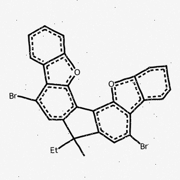 CCC1(C)c2cc(Br)c3c(oc4ccccc43)c2-c2c1cc(Br)c1c2oc2ccccc21